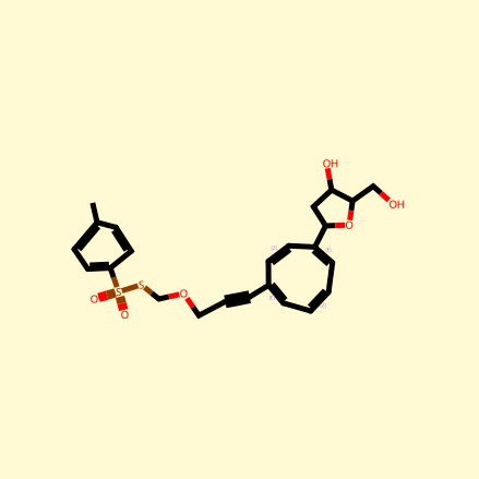 Cc1ccc(S(=O)(=O)SCOCC#CC2=C/C=C\C=C(C3CC(O)C(CO)O3)/C=C\2)cc1